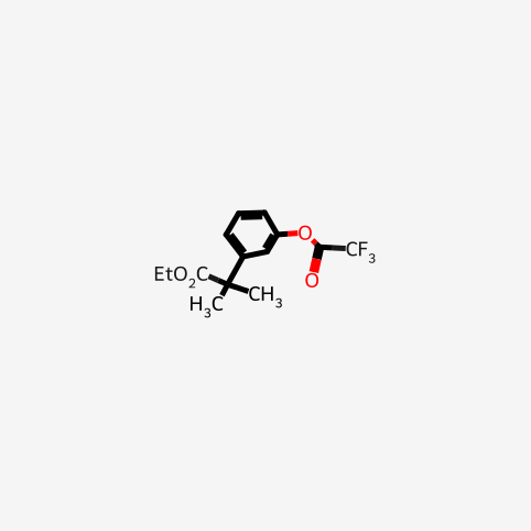 CCOC(=O)C(C)(C)c1cccc(OC(=O)C(F)(F)F)c1